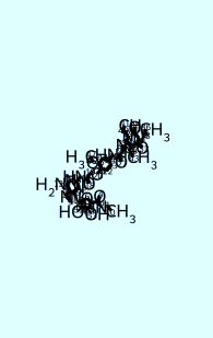 CCNC(=O)C1O[C@@H](n2cnc3c(N)nc(NC(=O)COc4ccc(NC(=O)c5nc6c(c(=O)n(CC)c(=O)n6CC)n5C)cc4OC)nc32)[C@H](O)[C@@H]1O